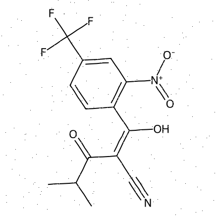 CC(C)C(=O)C(C#N)=C(O)c1ccc(C(F)(F)F)cc1[N+](=O)[O-]